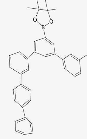 Cc1cccc(-c2cc(B3OC(C)(C)C(C)(C)O3)cc(-c3cccc(-c4ccc(-c5ccccc5)cc4)c3)c2)c1